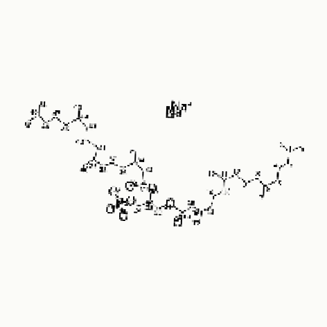 CC(C)CCCC(C)CCCC(C)CCCC(C)CC(=O)OC[C@H](COP(=O)([O-])[O-])OC(=O)CC(C)CCCC(C)CCCC(C)CCCC(C)C.[Na+].[Na+]